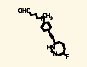 CN(CCCC=O)c1ccc(C#Cc2cccc(F)cnc[nH]2)cc1